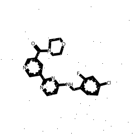 O=C(c1cncc(-c2nccc(NCc3ccc(Cl)cc3F)n2)c1)N1CCOCC1